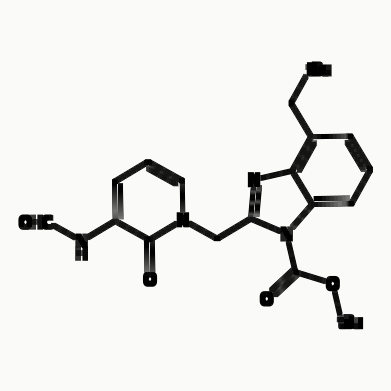 CC(C)(C)Cc1cccc2c1nc(Cn1cccc(NC=O)c1=O)n2C(=O)OC(C)(C)C